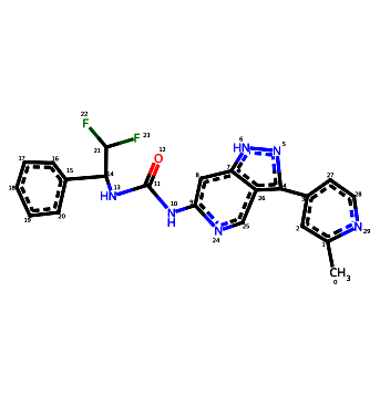 Cc1cc(-c2n[nH]c3cc(NC(=O)NC(c4ccccc4)C(F)F)ncc23)ccn1